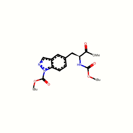 COC(=O)[C@H](Cc1ccc2c(cnn2C(=O)OC(C)(C)C)c1)NC(=O)OC(C)(C)C